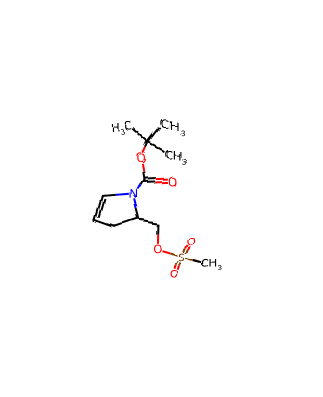 CC(C)(C)OC(=O)N1C=CCC1COS(C)(=O)=O